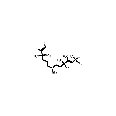 CC/C=C(\C)C(C)(C)CCCN(CCCC)CCC(C)(C)/C(C)=C/C(C)(C)Cl